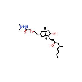 CCCC[C@H](C)C[C@@H](O)/C=C/[C@@H]1[C@H]2C[C@H](CCOCC(=O)NN(C)C)C[C@H]2C[C@H]1O